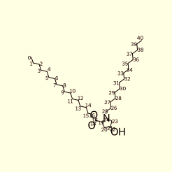 CCCCCCCCCCCCCCCCOC(=O)[C@@H]1CC(O)CN1CCCCCCCCCCCCCCCC